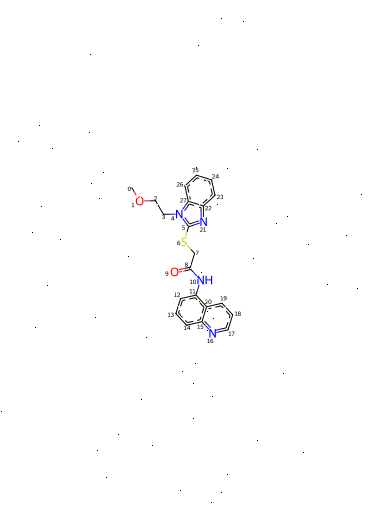 COCCn1c(SCC(=O)Nc2cccc3ncccc23)nc2ccccc21